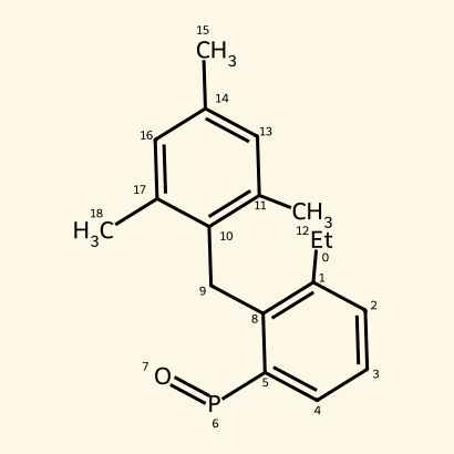 CCc1cccc(P=O)c1Cc1c(C)cc(C)cc1C